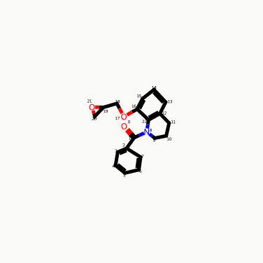 O=C(c1ccccc1)N1CCCc2cccc(OCC3CO3)c21